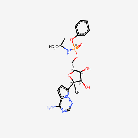 CC(N[P@@](=O)(OC[C@H]1O[C@@](C#N)(c2ccc3c(N)ncnn23)[C@H](O)[C@@H]1O)Oc1ccccc1)C(=O)O